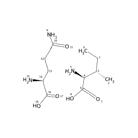 CC[C@H](C)[C@H](N)C(=O)O.NC(=O)CC[C@H](N)C(=O)O